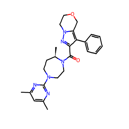 Cc1cc(C)nc(N2CC[C@@H](C)N(C(=O)c3nn4c(c3-c3ccccc3)COCC4)CC2)n1